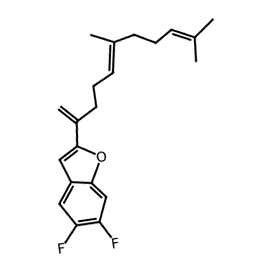 C=C(CC/C=C(\C)CCC=C(C)C)c1cc2cc(F)c(F)cc2o1